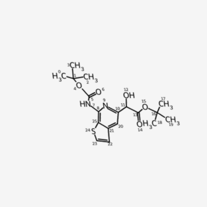 CC(C)(C)OC(=O)Nc1nc(C(O)C(=O)OC(C)(C)C)cc2ccsc12